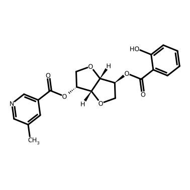 Cc1cncc(C(=O)O[C@@H]2CO[C@H]3[C@@H]2OC[C@@H]3OC(=O)c2ccccc2O)c1